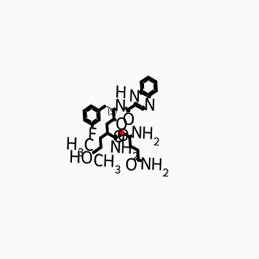 CC(C)(O)CCC(CC(OC(=O)C(N)CCC(N)=O)[C@H](Cc1cccc(F)c1)NC(=O)c1cnc2ccccc2n1)C(N)=O